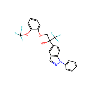 OC(COc1ccccc1OC(F)(F)F)(c1ccc2c(cnn2-c2ccccc2)c1)C(F)(F)F